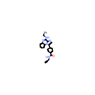 C#CCNC(=O)c1ccc(-c2cnc3c(NCC(C)C)nc4ccccc4n23)cc1